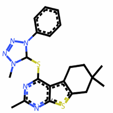 Cc1nc(SC2N(C)N=NN2c2ccccc2)c2c3c(sc2n1)CC(C)(C)CC3